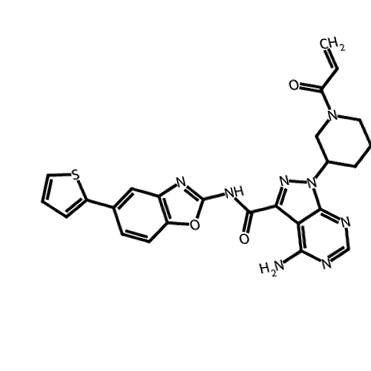 C=CC(=O)N1CCCC(n2nc(C(=O)Nc3nc4cc(-c5cccs5)ccc4o3)c3c(N)ncnc32)C1